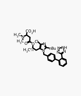 CCCCc1nc(Cl)c(C[C@H](C)OC(=O)CC(C(=O)O)N(C)C)n1Cc1ccc(-c2ccccc2-c2nn[nH]n2)cc1